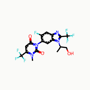 CC(CO)n1c(C(F)(F)F)nc2cc(F)c(-n3c(=O)cc(C(F)(F)F)n(C)c3=O)cc21